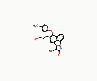 Cc1ccc(Oc2c(CCCO)cc3c4c(cccc24)C2=NC(=O)C(C#N)=C23)cc1